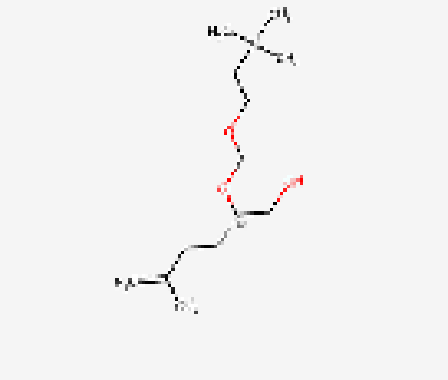 C=C(C)CC[C@@H](CO)OCOCC[Si](C)(C)C